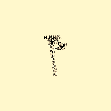 CCCCCCCCCCCCCCCCCCOC(C)c1nc(N)c2nc(CC)n(CCOCP(=O)(O)O)c2n1